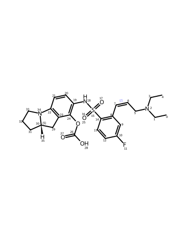 CCN(CC)C/C=C\c1cc(F)ccc1S(=O)(=O)Nc1ccc2c(c1OC(=O)O)C[C@@H]1CCCN21